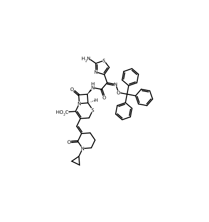 Nc1nc(/C(=N/OC(c2ccccc2)(c2ccccc2)c2ccccc2)C(=O)N[C@@H]2C(=O)N3C(C(=O)O)=C(/C=C4\CCCN(C5CC5)C4=O)CS[C@H]23)cs1